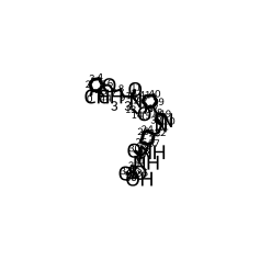 Cc1cccc(OCCCC(=O)N2CCOc3c(-c4cnn(Cc5cccc(NC(=O)NCS(=O)(=O)O)c5)c4)cccc32)c1C